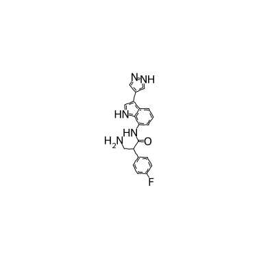 NCC(C(=O)Nc1cccc2c(-c3cn[nH]c3)c[nH]c12)c1ccc(F)cc1